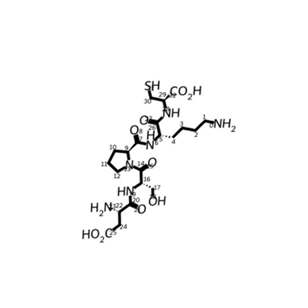 NCCCC[C@H](NC(=O)[C@@H]1CCCN1C(=O)[C@H](CO)NC(=O)[C@@H](N)CC(=O)O)C(=O)N[C@@H](CS)C(=O)O